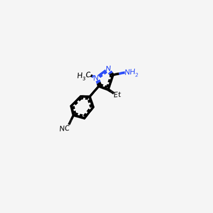 CCc1c(N)nn(C)c1-c1ccc(C#N)cc1